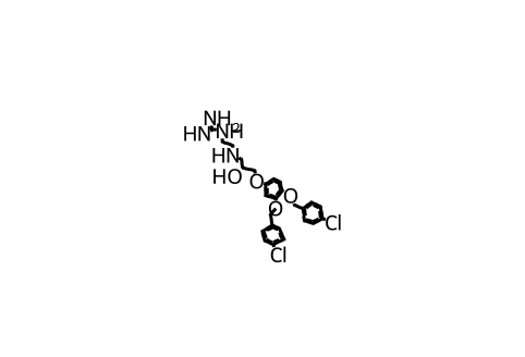 N=C(N)NCCNCC(O)COc1ccc(OCc2ccc(Cl)cc2)c(OCc2ccc(Cl)cc2)c1